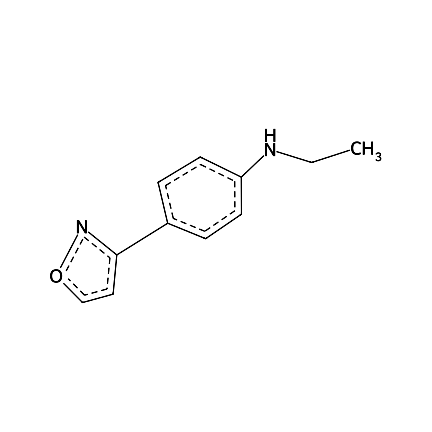 CCNc1ccc(-c2ccon2)cc1